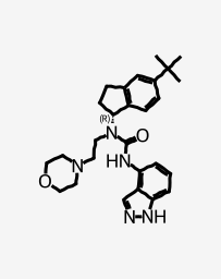 CC(C)(C)c1ccc2c(c1)CC[C@H]2N(CCN1CCOCC1)C(=O)Nc1cccc2[nH]ncc12